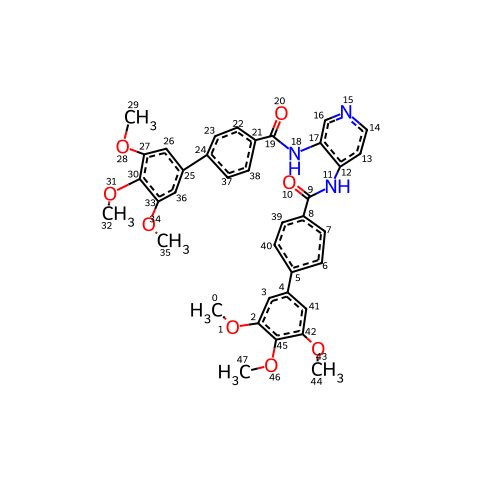 COc1cc(-c2ccc(C(=O)Nc3ccncc3NC(=O)c3ccc(-c4cc(OC)c(OC)c(OC)c4)cc3)cc2)cc(OC)c1OC